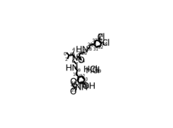 CC(C)[C@@H](C)N(CCNCCc1ccc(O)c2c1OCC(=O)N2)C(=O)CCNCCc1ccc(Cl)c(Cl)c1.Cl.Cl